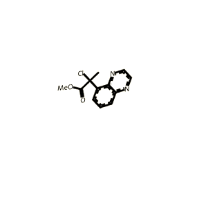 COC(=O)C(C)(Cl)c1cccc2nccnc12